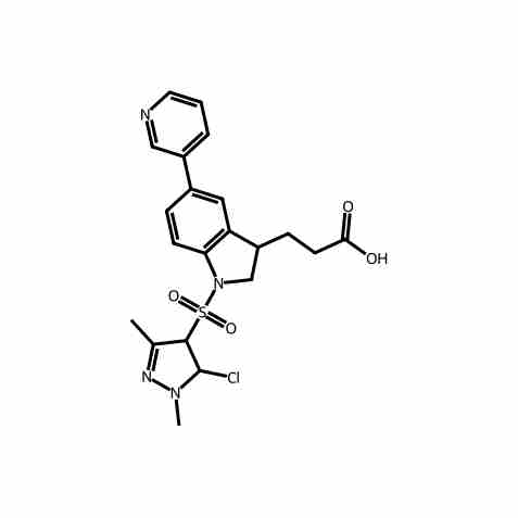 CC1=NN(C)C(Cl)C1S(=O)(=O)N1CC(CCC(=O)O)c2cc(-c3cccnc3)ccc21